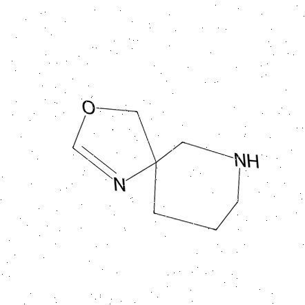 C1=NC2(CCCNC2)CO1